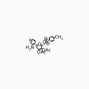 CC(=O)O[C@H]1[C@H](OC(C)=O)C[C@H](c2ccncc2N)O[C@@H]1COS(=O)(=O)c1ccc(C)cc1